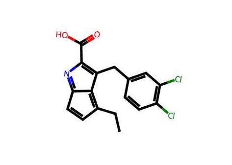 CCC1=C2C(=NC(C(=O)O)=C2Cc2ccc(Cl)c(Cl)c2)C=C1